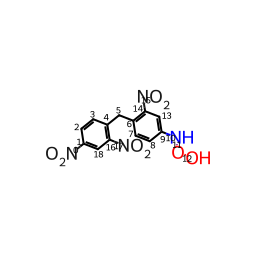 O=[N+]([O-])c1ccc(Cc2ccc(NOO)cc2[N+](=O)[O-])c([N+](=O)[O-])c1